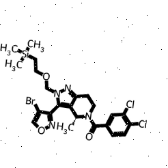 C[C@@H]1c2c(nn(COCC[Si](C)(C)C)c2-c2nocc2Br)CCN1C(=O)c1ccc(Cl)c(Cl)c1